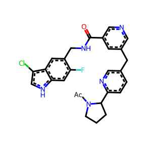 CC(=O)N1CCCC1c1ccc(Cc2cncc(C(=O)NCc3cc4c(Cl)c[nH]c4cc3F)c2)cn1